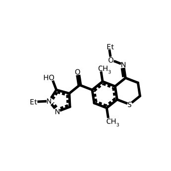 CCO/N=C1/CCSc2c(C)cc(C(=O)c3cnn(CC)c3O)c(C)c21